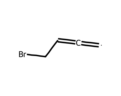 [CH]=C=CCBr